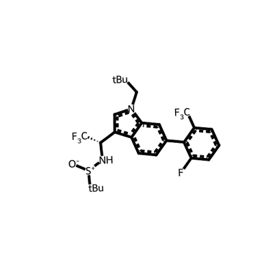 CC(C)(C)Cn1cc([C@H](N[S+]([O-])C(C)(C)C)C(F)(F)F)c2ccc(-c3c(F)cccc3C(F)(F)F)cc21